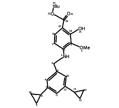 COc1c(NCc2cc(C3CC3)cc(C3CC3)c2)ccc(C(=O)OC(C)(C)C)c1O